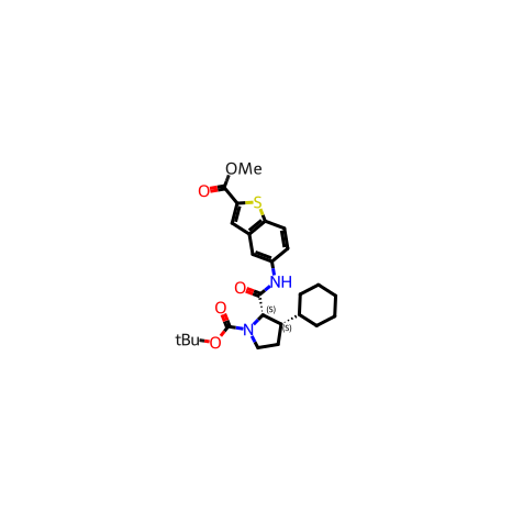 COC(=O)c1cc2cc(NC(=O)[C@@H]3[C@H](C4CCCCC4)CCN3C(=O)OC(C)(C)C)ccc2s1